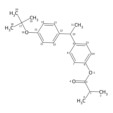 CC(C)C(=O)Oc1ccc(C(C)c2ccc(OC(C)(C)C)cc2)cc1